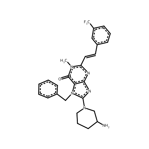 Cn1c(C=Cc2cccc(C(F)(F)F)c2)nc2nc(N3CCCC(N)C3)n(Cc3ccccc3)c2c1=O